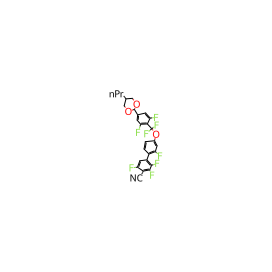 CCCC1COC(c2cc(F)c(C(F)(F)Oc3ccc(-c4cc(F)c(C#N)c(F)c4F)c(F)c3)c(F)c2)OC1